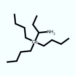 CCC[CH2][Ge]([CH2]CCC)([CH2]CCC)[CH](N)CC